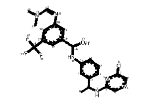 CC(Nc1cncc(Cl)n1)c1cccc(NC(O)c2cc(/N=C\N(C)C)cc(C(F)(F)F)c2)c1